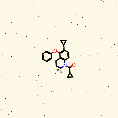 C[C@H]1CCc2c(ccc(C3CC3)c2Oc2ccccc2)N1C(=O)C1CC1